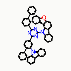 c1ccc(-c2cccc(-c3nc(-c4ccc(-c5ccccc5)c(-n5c6ccccc6c6ccccc65)c4)nc(-n4c5ccccc5c5ccc6oc7ccccc7c6c54)n3)c2)cc1